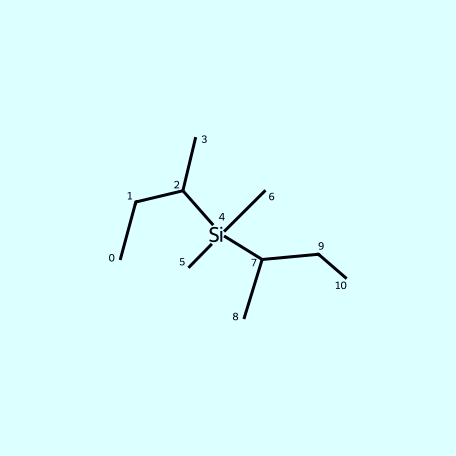 CCC(C)[Si](C)(C)C(C)CC